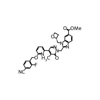 COC(=O)c1ccc2nc(Cn3ncc(-c4cccc(OCc5ccc(C#N)cc5F)n4)c(C)c3=O)n(C[C@@H]3CCO3)c2c1